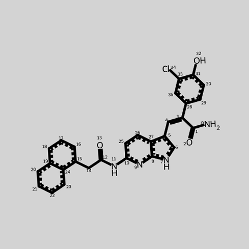 NC(=O)/C(=C\c1c[nH]c2nc(NC(=O)Cc3cccc4ccccc34)ccc12)c1ccc(O)c(Cl)c1